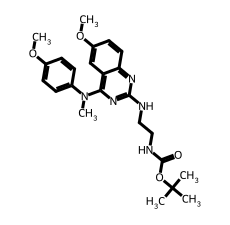 COc1ccc(N(C)c2nc(NCCNC(=O)OC(C)(C)C)nc3ccc(OC)cc23)cc1